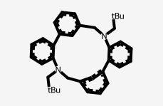 CC(C)(C)CN1Cc2cccc(c2)-c2ccccc2N(CC(C)(C)C)Cc2cccc(c2)-c2ccccc21